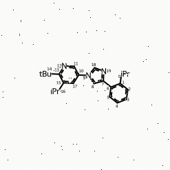 CC(C)c1ccccc1-c1cn(-c2cnc(C(C)(C)C)c(C(C)C)c2)cn1